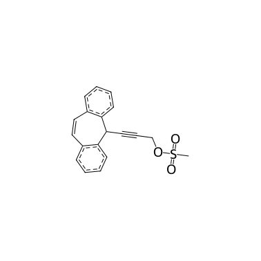 CS(=O)(=O)OCC#CC1c2ccccc2C=Cc2ccccc21